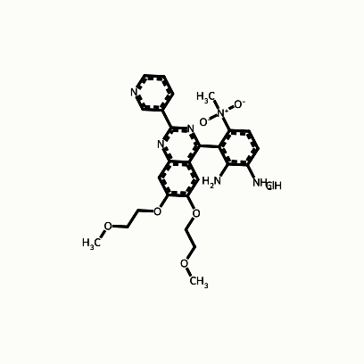 COCCOc1cc2nc(-c3cccnc3)nc(-c3c([N+](C)([O-])[O-])ccc(N)c3N)c2cc1OCCOC.Cl